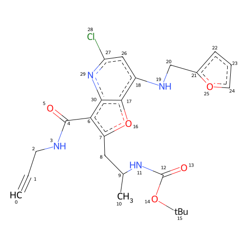 C#CCNC(=O)c1c(CC(C)NC(=O)OC(C)(C)C)oc2c(NCc3ccco3)cc(Cl)nc12